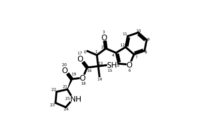 CC(C(=O)c1coc2ccccc12)C(C)(S)C(=O)OC(=O)[C@@H]1CCCN1